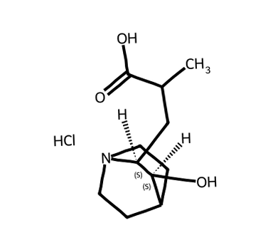 CC(C[C@H]1[C@@H](O)C2CCN1CC2)C(=O)O.Cl